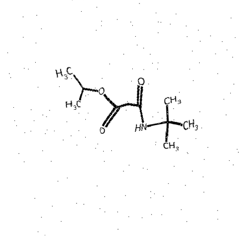 CC(C)OC(=O)C(=O)NC(C)(C)C